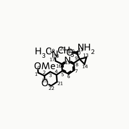 COCC1CC(c2ccc(C3(C(N)=O)CC3)nc2CN(C)C)CCO1